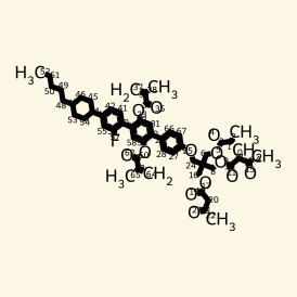 C=C(C)C(=O)OCC(COC(=O)CC(C)=O)(COC(=O)CC(C)=O)COc1ccc(-c2cc(OC(=O)C(=C)C)c(-c3ccc(C4CCC(CCCCC)CC4)cc3F)cc2OC(=O)C(=C)C)cc1